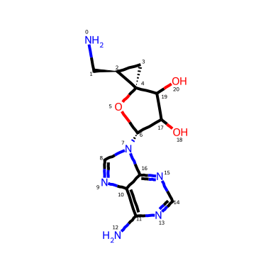 NC[C@H]1C[C@]12O[C@@H](n1cnc3c(N)ncnc31)C(O)C2O